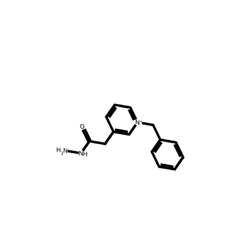 NNC(=O)Cc1ccc[n+](Cc2ccccc2)c1